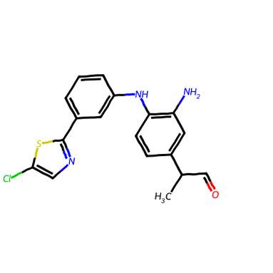 CC(C=O)c1ccc(Nc2cccc(-c3ncc(Cl)s3)c2)c(N)c1